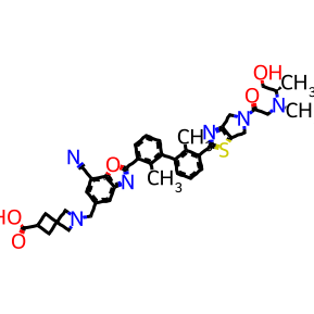 Cc1c(-c2nc3cc(CN4CC5(CC(C(=O)O)C5)C4)cc(C#N)c3o2)cccc1-c1cccc(-c2nc3c(s2)CN(C(=O)CN(C)[C@H](C)CO)C3)c1C